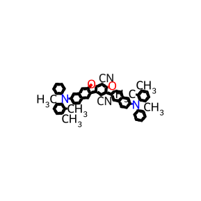 Cc1ccccc1N(c1ccc2cc3c(cc2c1)oc1c(C#N)c2oc4cc5cc(N(c6ccccc6C)c6cccc(C)c6C)ccc5cc4c2c(C#N)c13)c1cccc(C)c1C